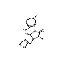 CC(C)C1C(=O)N(c2cc(F)ccc2Cl)C(=O)N1Cc1ccccc1